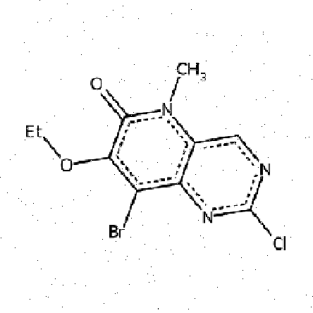 CCOc1c(Br)c2nc(Cl)ncc2n(C)c1=O